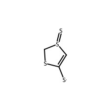 [S]C1=CS(=S)CS1